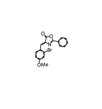 COc1ccc(/C=C2\N=C(c3ccccc3)OC2=O)c(Br)c1